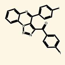 O=C(c1ccc(I)cc1)c1nnn2c1c(-c1ccc(I)cc1)nc1ccccc12